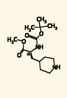 COC(=O)[C@H](CC1CCNCC1)NC(=O)OC(C)(C)C